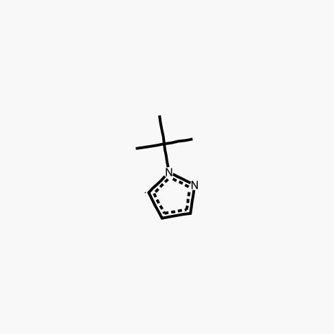 CC(C)(C)n1[c]ccn1